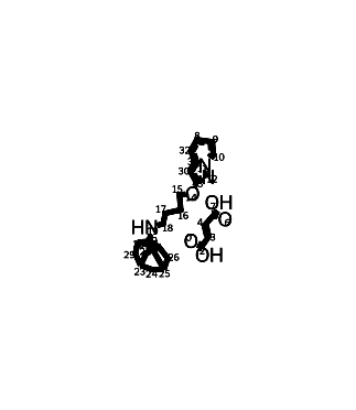 O=C(O)C=CC(=O)O.c1ccn2nc(OCCCCNC3C4CC5CC(C4)CC3C5)cc2c1